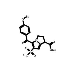 CCOc1ccc(C(=O)c2c(S(C)(=O)=O)cc3n2CCC3C(=O)OC)cc1